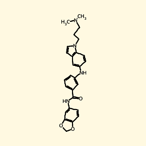 CN(C)CCCn1ccc2cc(Nc3cccc(C(=O)Nc4ccc5c(c4)OCO5)c3)ccc21